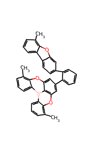 Cc1cccc2c1Oc1cc(-c3ccccc3-c3ccc4c(c3)oc3c(C)cccc34)cc3c1B2c1cccc(C)c1O3